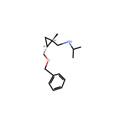 CC(C)NC[C@@]1(C)C[C@H]1COCc1ccccc1